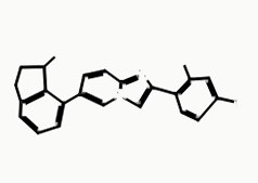 OC1CCc2cccc(-c3ccc4nc(-c5ccc(F)cc5F)cn4c3)c21